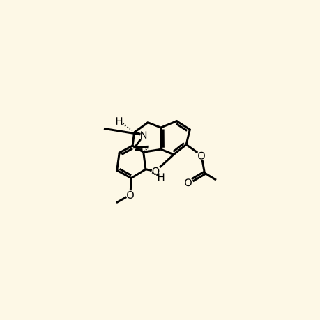 COC1=CC=C2[C@H]3Cc4ccc(OC(C)=O)c5c4[C@@]2(C=CN3C)[C@H]1O5